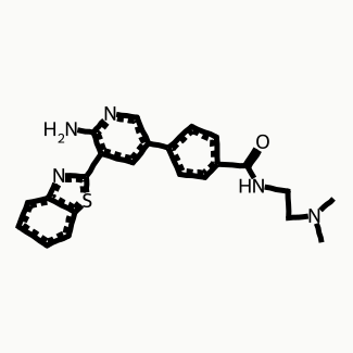 CN(C)CCNC(=O)c1ccc(-c2cnc(N)c(-c3nc4ccccc4s3)c2)cc1